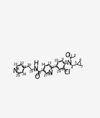 CC(=O)N(CC1CC1)c1ccc(-c2ccc(C(=O)NCCc3ccncc3)cn2)cc1Cl